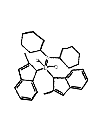 CC1=Cc2ccccc2[CH]1[Zr]([Cl])([Cl])([CH]1C(C)=Cc2ccccc21)=[Si](C1CCCCC1)C1CCCCC1